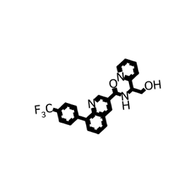 O=C(NC(CO)c1ccccn1)c1cnc2c(-c3ccc(C(F)(F)F)cc3)cccc2c1